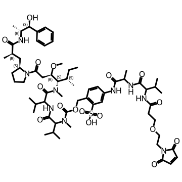 CC[C@H](C)[C@@H]([C@@H](CC(=O)N1CCC[C@H]1C[C@@H](C)C(=O)N[C@H](C)[C@@H](O)c1ccccc1)OC)N(C)C(=O)C(NC(=O)C(C(C)C)N(C)C(=O)OCc1ccc(NC(=O)C(C)NC(=O)C(NC(=O)CCOCCN2C(=O)C=CC2=O)C(C)C)cc1S(=O)(=O)O)C(C)C